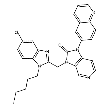 O=c1n(Cc2nc3cc(Cl)ccc3n2CCCCF)c2cnccc2n1-c1ccc2ncccc2c1